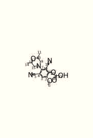 COc1cc(C#N)c(N2CC(C)OC(C)C2)c(C#N)c1OC(=O)O